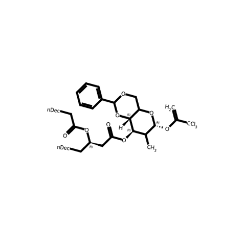 C=C(O[C@H]1OC2COC(c3ccccc3)O[C@H]2[C@H](OC(=O)C[C@@H](CCCCCCCCCCC)OC(=O)CCCCCCCCCCC)C1C)C(Cl)(Cl)Cl